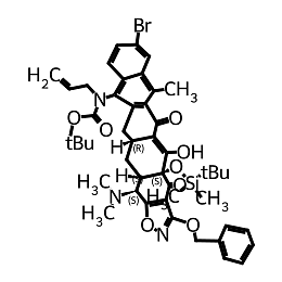 C=CCN(C(=O)OC(C)(C)C)c1c2c(c(C)c3cc(Br)ccc13)C(=O)C1=C(O)[C@]3(O[Si](C)(C)C(C)(C)C)C(=O)c4c(OCc5ccccc5)noc4[C@@H](N(C)C)[C@@H]3C[C@@H]1C2